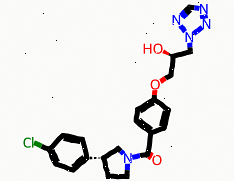 O=C(c1ccc(OC[C@@H](O)Cn2ncnn2)cc1)N1CC[C@H](c2ccc(Cl)cc2)C1